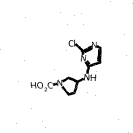 O=C(O)N1CCC(Nc2ccnc(Cl)n2)C1